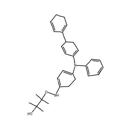 CC(C)(O)C(C)(C)OBC1=CC=C(N(C2=CCC(C3=CCCC=C3)C=C2)c2ccccc2)CC1